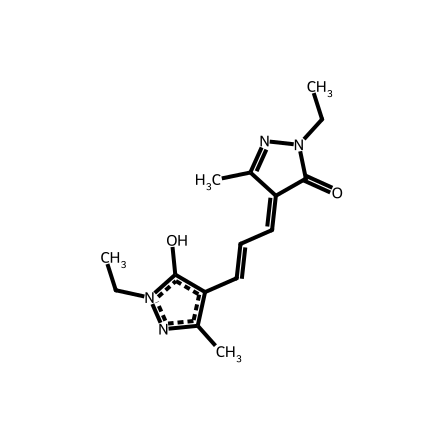 CCN1N=C(C)C(=CC=Cc2c(C)nn(CC)c2O)C1=O